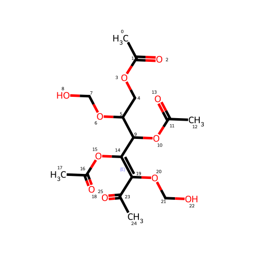 CC(=O)OCC(OCO)C(OC(C)=O)/C(OC(C)=O)=C(\OCO)C(C)=O